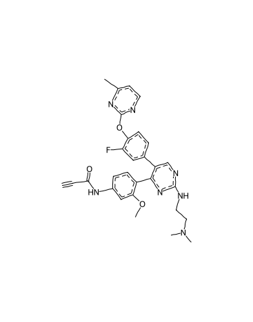 C#CC(=O)Nc1ccc(-c2nc(NCCN(C)C)ncc2-c2ccc(Oc3nccc(C)n3)c(F)c2)c(OC)c1